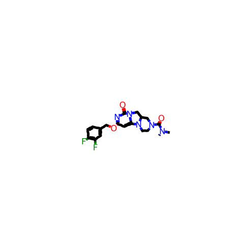 CN(C)C(=O)N1CCN2c3cc(OCc4ccc(F)c(F)c4)nc(=O)n3CC2C1